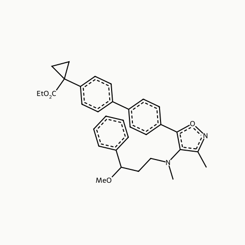 CCOC(=O)C1(c2ccc(-c3ccc(-c4onc(C)c4N(C)CCC(OC)c4ccccc4)cc3)cc2)CC1